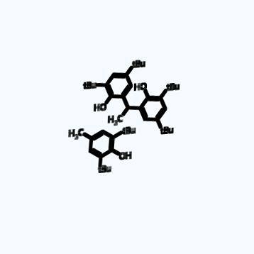 CC(c1cc(C(C)(C)C)cc(C(C)(C)C)c1O)c1cc(C(C)(C)C)cc(C(C)(C)C)c1O.Cc1cc(C(C)(C)C)c(O)c(C(C)(C)C)c1